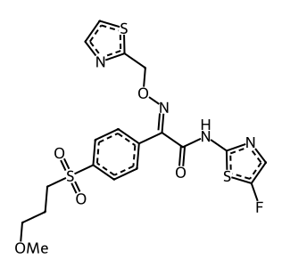 COCCCS(=O)(=O)c1ccc(/C(=N\OCc2nccs2)C(=O)Nc2ncc(F)s2)cc1